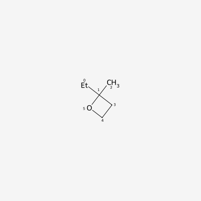 [CH2]CC1(C)CCO1